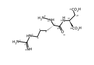 N=C(N)NCCC[C@H](NN)C(=O)N[C@@H](CC(=O)O)C(=O)O